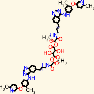 COC(OC(=O)C(O)C(O)C(=O)OC(OC)C(=O)NC/C=C/c1ccc2ncnc(Nc3ccc(Oc4ccc(C)nc4)c(C)c3)c2c1)C(=O)NC/C=C/c1ccc2ncnc(Nc3ccc(Oc4ccc(C)nc4)c(C)c3)c2c1